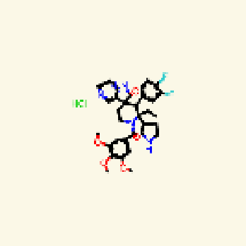 CCC1(C2CCNC2)C(c2ccc(F)c(F)c2)C(C(N)=O)(c2cccnc2)CCN1C(=O)c1cc(OC)c(OC)c(OC)c1.Cl